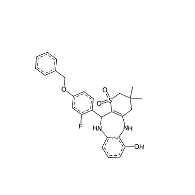 CC1(C)CC2=C(C(c3ccc(OCc4ccccc4)cc3F)Nc3cccc(O)c3N2)S(=O)(=O)C1